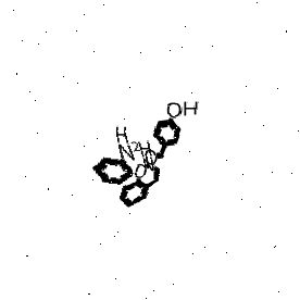 C1=Cc2ccccc2ON1.Nc1ccccc1.O=Cc1ccc(O)cc1